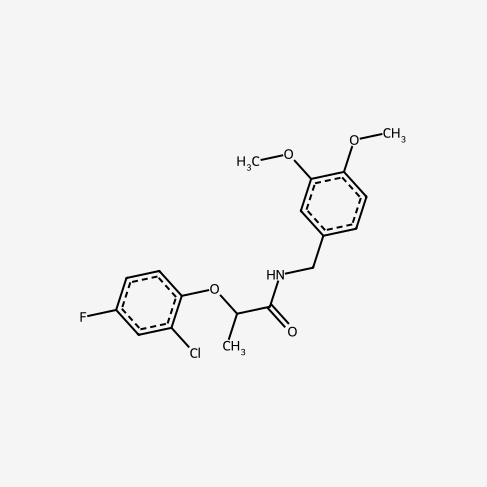 COc1ccc(CNC(=O)C(C)Oc2ccc(F)cc2Cl)cc1OC